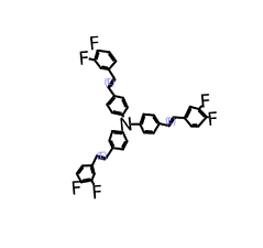 Fc1ccc(/C=C/c2ccc(N(c3ccc(/C=C/c4ccc(F)c(F)c4)cc3)c3ccc(/C=C/c4ccc(F)c(F)c4)cc3)cc2)cc1F